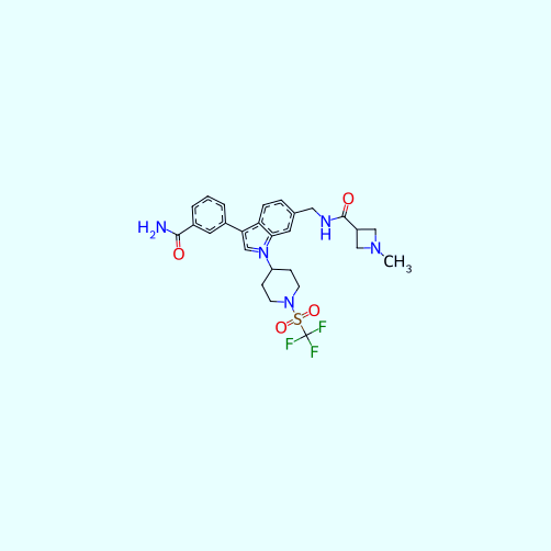 CN1CC(C(=O)NCc2ccc3c(-c4cccc(C(N)=O)c4)cn(C4CCN(S(=O)(=O)C(F)(F)F)CC4)c3c2)C1